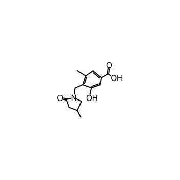 Cc1cc(C(=O)O)cc(O)c1CN1CC(C)CC1=O